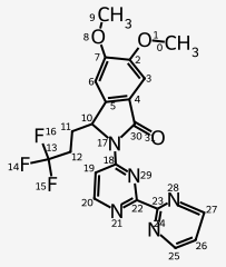 COc1cc2c(cc1OC)C(CCC(F)(F)F)N(c1ccnc(-c3ncccn3)n1)C2=O